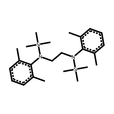 Cc1cccc(C)c1N(CCN(c1c(C)cccc1C)[Si](C)(C)C)[Si](C)(C)C